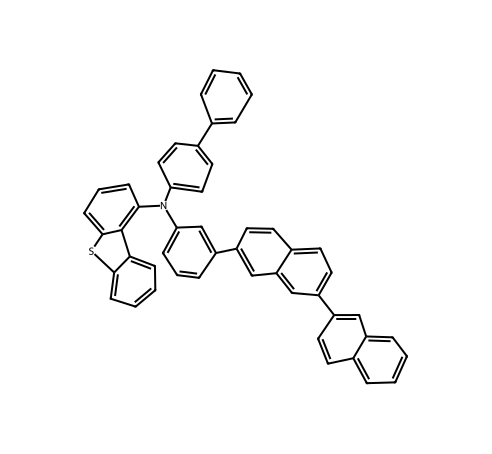 c1ccc(-c2ccc(N(c3cccc(-c4ccc5ccc(-c6ccc7ccccc7c6)cc5c4)c3)c3cccc4sc5ccccc5c34)cc2)cc1